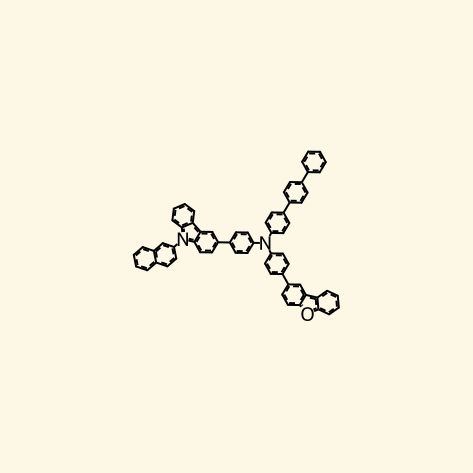 c1ccc(-c2ccc(-c3ccc(N(c4ccc(-c5ccc6oc7ccccc7c6c5)cc4)c4ccc(-c5ccc6c(c5)c5ccccc5n6-c5ccc6ccccc6c5)cc4)cc3)cc2)cc1